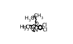 CCCCC(OCCN(C)C)(c1ccc(Cl)c(Cl)c1)c1nccn1C